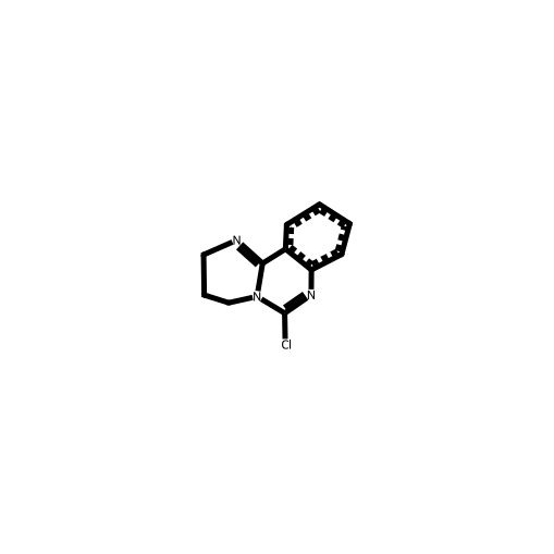 ClC1=Nc2ccccc2C2=NCCCN12